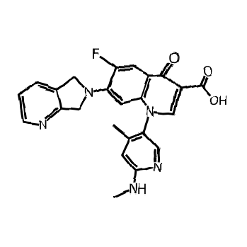 CNc1cc(C)c(-n2cc(C(=O)O)c(=O)c3cc(F)c(N4Cc5cccnc5C4)cc32)cn1